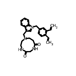 C=Cc1ccc(Cn2cc(CN3CCNC(=O)CNC(=O)CC3)c3ccccc32)cc1C=C